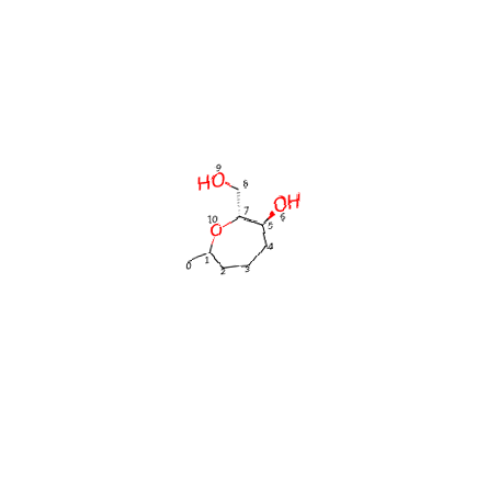 CC1CCC[C@H](O)[C@@H](CO)O1